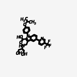 CC(C)Oc1ccc(-n2c(C(=O)O)c(CNC(CO)CO)c3cc(-c4ccc(C(F)(F)F)cn4)ccc32)cc1